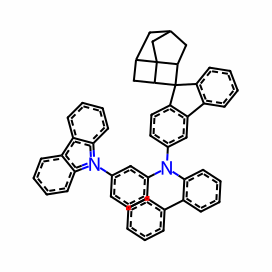 c1ccc(-c2ccccc2N(c2cccc(-n3c4ccccc4c4ccccc43)c2)c2ccc3c(c2)-c2ccccc2C32C3CC4CC5CC2C53C4)cc1